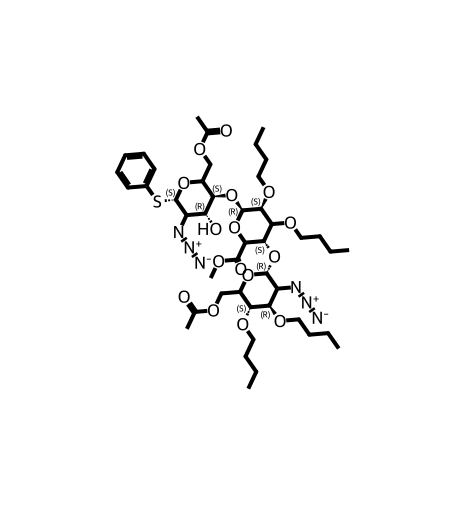 CCCCOC1[C@H](O[C@H]2OC(COC(C)=O)[C@@H](OCCCC)[C@H](OCCCC)C2N=[N+]=[N-])C(C(=O)OC)O[C@@H](O[C@@H]2C(COC(C)=O)O[C@@H](Sc3ccccc3)C(N=[N+]=[N-])[C@H]2O)[C@H]1OCCCC